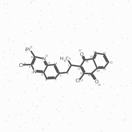 CC(Cc1ccc2nc(Cl)c(C(C)C)nc2c1)C1=C(Cl)C(=O)c2ccccc2C1=O